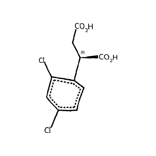 O=C(O)C[C@@H](C(=O)O)c1ccc(Cl)cc1Cl